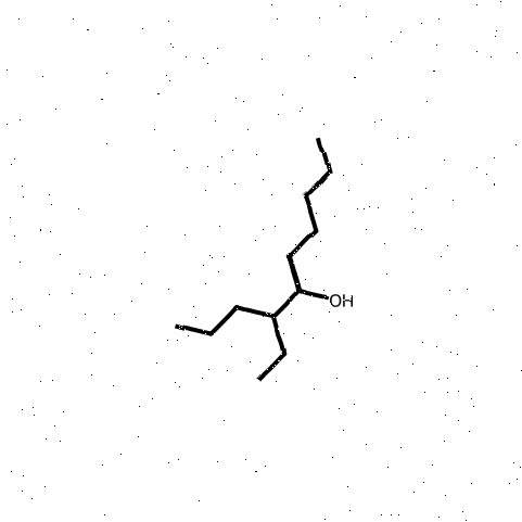 CCCCCC(O)C(CC)CCC